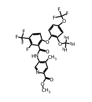 [2H]C([2H])([2H])Oc1cc(OC(F)(F)F)ccc1Oc1ccc(C(F)(F)F)c(F)c1C(=O)Nc1cnc(C(=O)OC)cc1C